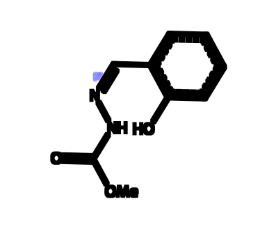 COC(=O)N/N=C\c1ccccc1O